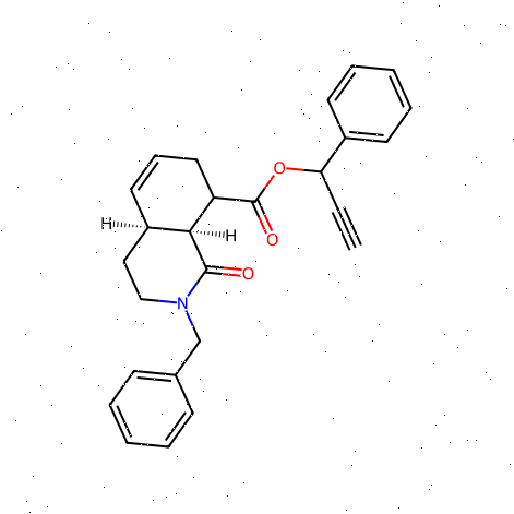 C#CC(OC(=O)C1CC=C[C@@H]2CCN(Cc3ccccc3)C(=O)[C@H]12)c1ccccc1